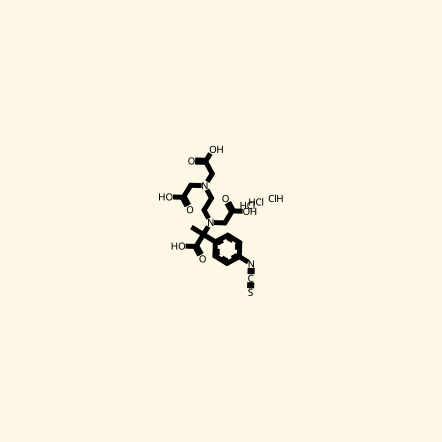 CC(C(=O)O)(c1ccc(N=C=S)cc1)N(CCN(CC(=O)O)CC(=O)O)CC(=O)O.Cl.Cl.Cl